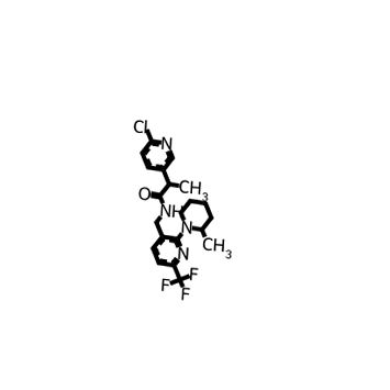 CC(C(=O)NCc1ccc(C(F)(F)F)nc1N1CCCCC1C)c1ccc(Cl)nc1